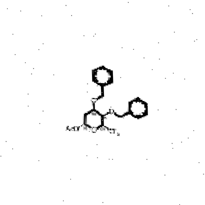 CC(=O)O[C@@H]1C[C@@H](OCc2ccccc2)[C@@H](OCc2ccccc2)[C@@H](C(F)(F)F)O1